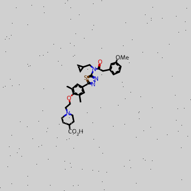 COc1cccc(CC(=O)N(CC2CC2)c2nnc(-c3cc(C)c(OCCN4CCC(C(=O)O)CC4)c(C)c3)s2)c1